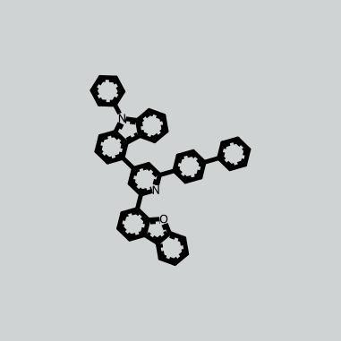 c1ccc(-c2ccc(-c3cc(-c4cccc5c4c4ccccc4n5-c4ccccc4)cc(-c4cccc5c4oc4ccccc45)n3)cc2)cc1